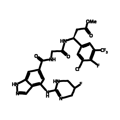 COC(=O)C[C@H](NC(=O)CNC(=O)c1cc(NC2=NCC(F)CN2)c2cn[nH]c2c1)c1cc(Cl)c(F)c(C(F)(F)F)c1